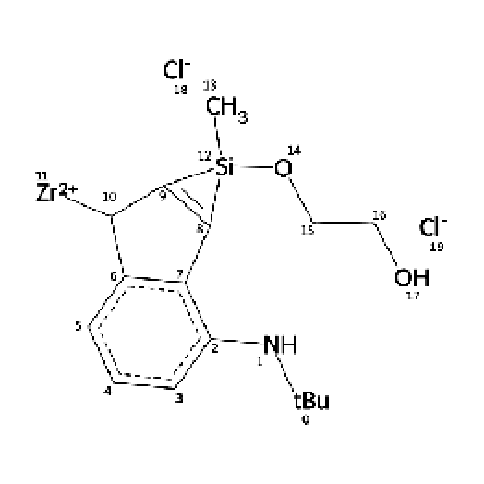 CC(C)(C)Nc1cccc2c1C1=C([CH]2[Zr+2])[Si]1(C)OCCO.[Cl-].[Cl-]